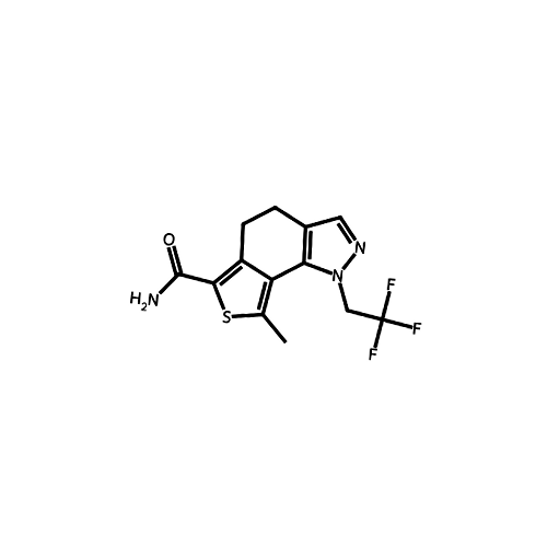 Cc1sc(C(N)=O)c2c1-c1c(cnn1CC(F)(F)F)CC2